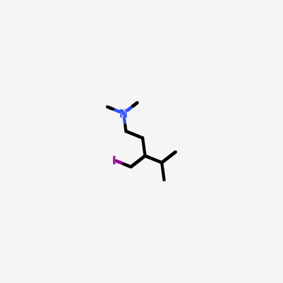 CC(C)C(CI)CCN(C)C